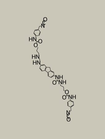 O=C=NCc1ccc(NC(=O)OCCCNCNc2ccc3c(c2)Cc2cc(NC(=O)NCCCOC(=O)Nc4ccc(CN=C=O)cc4)ccc2-3)cc1